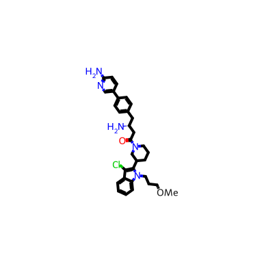 COCCCn1c(C2CCCN(C(=O)C[C@H](N)Cc3ccc(-c4ccc(N)nc4)cc3)C2)c(Cl)c2ccccc21